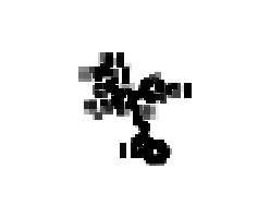 Cl.N=C(N)NC(=O)c1nc(-c2cncnc2)c(NCCc2c[nH]c3ccccc23)nc1N